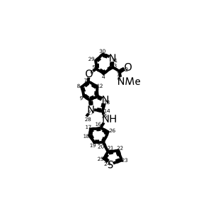 CNC(=O)c1cc(Oc2ccc3c(c2)nc(Nc2cccc(-c4ccsc4)c2)n3C)ccn1